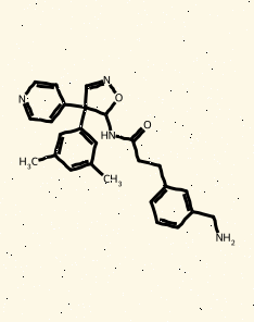 Cc1cc(C)cc(C2(c3ccncc3)C=NOC2NC(=O)CCc2cccc(CN)c2)c1